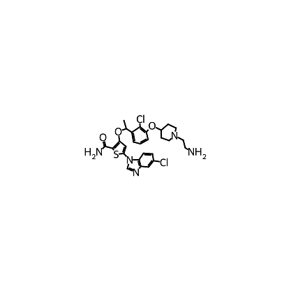 CC(Oc1cc(-n2cnc3cc(Cl)ccc32)sc1C(N)=O)c1cccc(OC2CCN(CCN)CC2)c1Cl